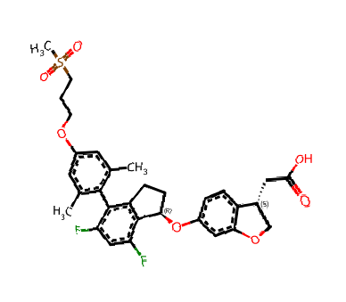 Cc1cc(OCCCS(C)(=O)=O)cc(C)c1-c1c(F)cc(F)c2c1CC[C@H]2Oc1ccc2c(c1)OC[C@H]2CC(=O)O